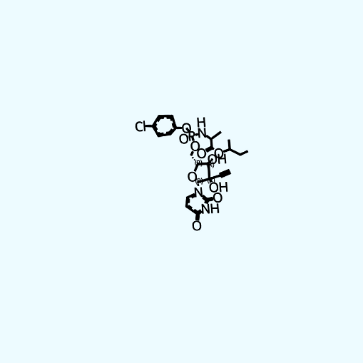 C#C[C@@]1(O)[C@H](O)[C@@H](COP(=O)(NC(C)C(=O)OC(C)CC)Oc2ccc(Cl)cc2)O[C@H]1n1ccc(=O)[nH]c1=O